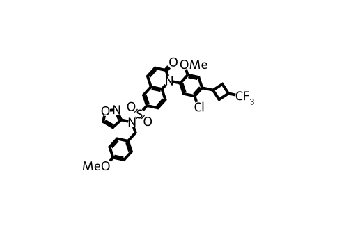 COc1ccc(CN(c2ccon2)S(=O)(=O)c2ccc3c(ccc(=O)n3-c3cc(Cl)c(C4CC(C(F)(F)F)C4)cc3OC)c2)cc1